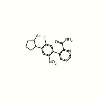 CC(=O)N1CCCC1c1cc([N+](=O)[O-])c(-c2cccnc2C(N)=O)cc1F